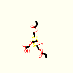 C=CC(=O)OCCSC(OCC(=O)O)(SCCOC(=O)C=C)C(O)=S